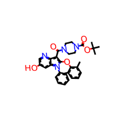 Cc1cccc(C)c1Oc1c(C(=O)N2CCN(C(=O)OC(C)(C)C)CC2)c2ncc(O)cc2n1-c1ccccc1